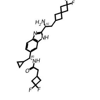 N[C@@H](CC1CC2(C1)CC(F)(F)C2)c1nc2ccc([C@H](NC(=O)CC3CC(F)(F)C3)C3CC3)cc2[nH]1